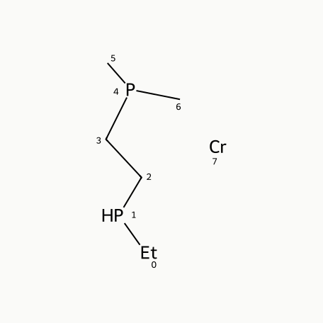 CCPCCP(C)C.[Cr]